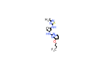 C=CC(/C=C/Nc1nc(C)ns1)Nc1nc2c(OCCCC(F)(F)F)cccn2n1